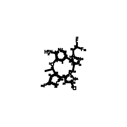 CC1Oc2cc(cnc2N)-c2c(cnn2CC(F)F)Cn2nc(Cl)cc2-c2ccc(F)cc21